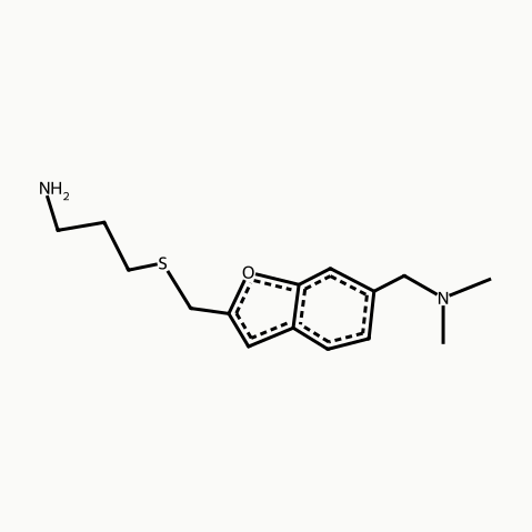 CN(C)Cc1ccc2cc(CSCCCN)oc2c1